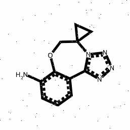 Nc1cccc2c1OCC1(CC1)n1nnnc1-2